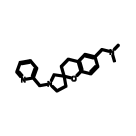 CN(C)Cc1ccc2c(c1)CCC1(CCN(Cc3ccccn3)C1)O2